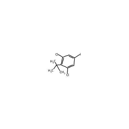 CC(C)(C)c1c(Cl)cc(I)cc1Cl